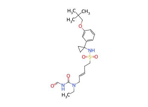 CCN(C/C=C/CCS(=O)(=O)NC1(c2cccc(OCC(C)(C)C)c2)CC1)C(=O)NC=O